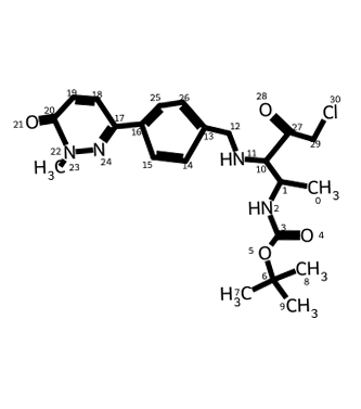 CC(NC(=O)OC(C)(C)C)C(NCc1ccc(-c2ccc(=O)n(C)n2)cc1)C(=O)CCl